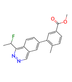 COC(=O)c1ccc(C)c(-c2ccc3c(C(C)F)nncc3c2)c1